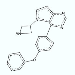 c1ccc(Oc2ccc(-c3ncnc4ccn(C5CNC5)c34)cc2)cc1